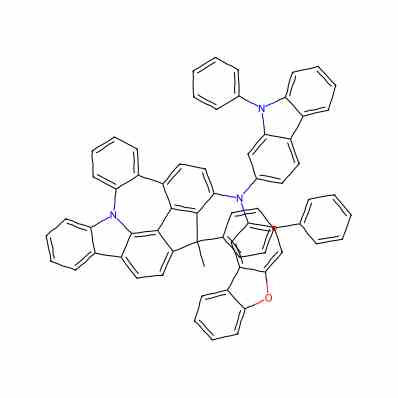 CC1(c2ccc(-c3ccccc3)cc2)c2ccc3c4ccccc4n4c3c2-c2c(ccc(N(c3ccc5oc6ccccc6c5c3)c3ccc5c6ccccc6n(-c6ccccc6)c5c3)c21)-c1ccccc1-4